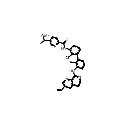 C=Cc1cnc2c(Nc3cccc(-c4cccc(NC(=O)c5ccc(C(C)OC)cn5)c4Cl)c3C)nccc2c1